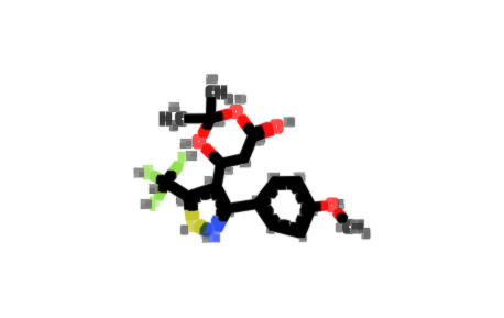 COc1ccc(-c2nsc(C(F)(F)F)c2C2CC(=O)OC(C)(C)O2)cc1